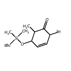 [2H]C1C=CC(O[Si](C)(C)C(C)(C)C)C(C)C1=O